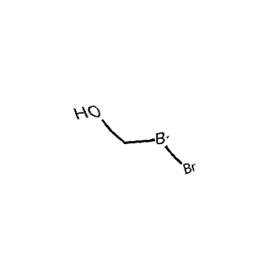 OC[B]Br